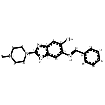 CN1CCN(c2nc3cc(Cl)c(/N=C/c4ccccc4)cc3o2)CC1